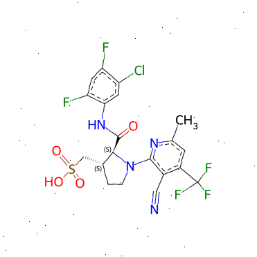 Cc1cc(C(F)(F)F)c(C#N)c(N2CC[C@H](CS(=O)(=O)O)[C@H]2C(=O)Nc2cc(Cl)c(F)cc2F)n1